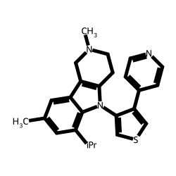 Cc1cc(C(C)C)c2c(c1)c1c(n2-c2cscc2-c2ccncc2)CCN(C)C1